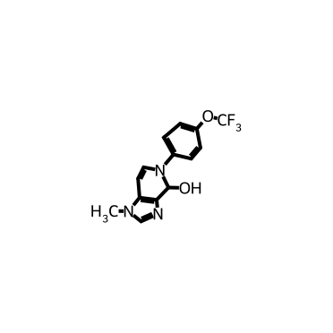 Cn1cnc2c1C=CN(c1ccc(OC(F)(F)F)cc1)C2O